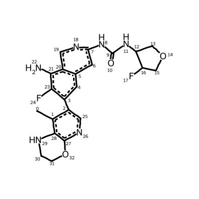 Cc1c(-c2cc3cc(NC(=O)NC4COCC4F)ncc3c(N)c2F)cnc2c1NCCO2